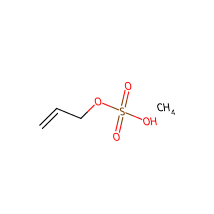 C.C=CCOS(=O)(=O)O